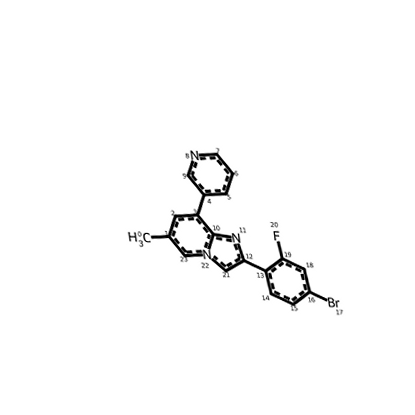 Cc1cc(-c2cccnc2)c2nc(-c3ccc(Br)cc3F)cn2c1